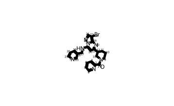 O=C(c1ccccn1)N1CCCC(c2cc(NCc3cccnc3)n3ncc(Br)c3n2)C1